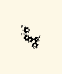 CC(C)c1cnnc(Nc2ccc3ncc(-c4cn(C)nc4C4CCOCC4)cc3n2)c1